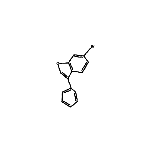 Brc1ccc2c(-c3ccccc3)coc2c1